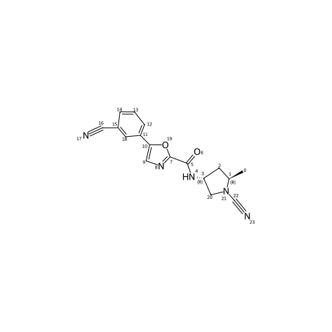 C[C@@H]1C[C@@H](NC(=O)c2ncc(-c3cccc(C#N)c3)o2)CN1C#N